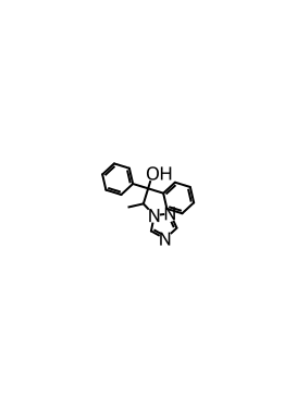 CC(n1cncn1)C(O)(c1ccccc1)c1ccccc1